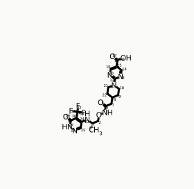 C[C@@H](CONC(=O)CC1CCN(c2ncc(C(=O)O)cn2)CC1)Nc1cn[nH]c(=O)c1C(F)(F)F